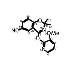 COc1cccnc1OC1=NC(C)(C)Oc2ccc(C#N)cc21